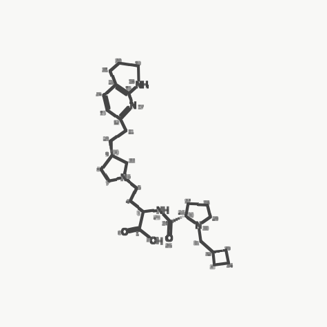 O=C(O)C(CCN1CC[C@@H](CCc2ccc3c(n2)NCCC3)C1)NC(=O)[C@@H]1CCCN1CC1CCC1